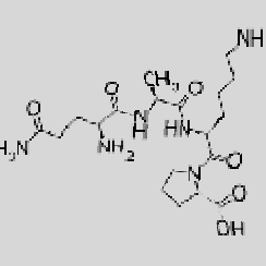 C[C@H](NC(=O)[C@@H](N)CCC(N)=O)C(=O)N[C@@H](CCCCN)C(=O)N1CCC[C@H]1C(=O)O